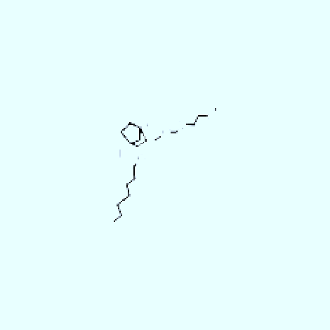 CCCCCCCO[C@@H]1[C@H]2CC[C@H](C2)[C@H]1COCOCCOC